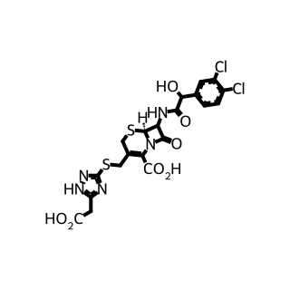 O=C(O)Cc1nc(SCC2=C(C(=O)O)N3C(=O)C(NC(=O)C(O)c4ccc(Cl)c(Cl)c4)[C@@H]3SC2)n[nH]1